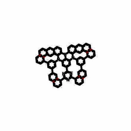 c1ccc(-c2cc(-c3ccccc3)cc(N3c4cc(-c5nc(-c6ccccc6)nc(-c6ccccc6)n5)cc5c4B(c4ccc6cc7ccccc7cc6c43)c3ccc4cc6ccccc6cc4c3N5c3cc(-c4ccccc4)cc(-c4ccccc4)c3)c2)cc1